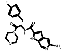 Nc1cc2cc(C(=O)N[C@@H](Cc3ccc(F)cc3)C(=O)N3CCOCC3)[nH]c2cn1